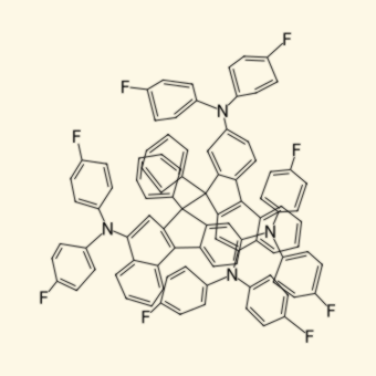 Fc1ccc(N(c2ccc(F)cc2)c2ccc3c(c2)C(c2ccccc2)(C2(c4ccccc4)c4cc(N(c5ccc(F)cc5)c5ccc(F)cc5)ccc4-c4c2cc(N(c2ccc(F)cc2)c2ccc(F)cc2)c2ccccc42)c2cc(N(c4ccc(F)cc4)c4ccc(F)cc4)c4ccccc4c2-3)cc1